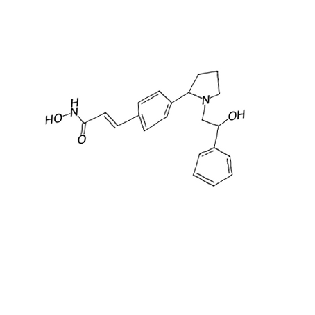 O=C(C=Cc1ccc(C2CCCN2CC(O)c2ccccc2)cc1)NO